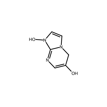 OC1=CN=C2N(O)C=CN2C1